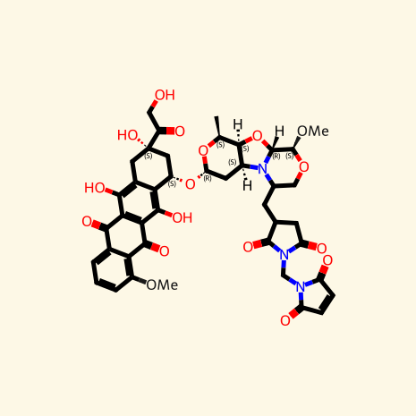 COc1cccc2c1C(=O)c1c(O)c3c(c(O)c1C2=O)C[C@@](O)(C(=O)CO)C[C@@H]3O[C@H]1C[C@H]2[C@H](O[C@@H]3[C@@H](OC)OCC(CC4CC(=O)N(CN5C(=O)C=CC5=O)C4=O)N32)[C@H](C)O1